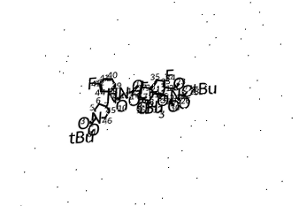 CC(C)(C)OC(=O)N1CCC(N(C(=O)NC(=O)OC(C)(C)Cc2cc(C(=O)N(C(=O)OC(C)(C)C)C(=O)OC(C)(C)C)c(F)cc2F)c2cccc(F)c2)CC1